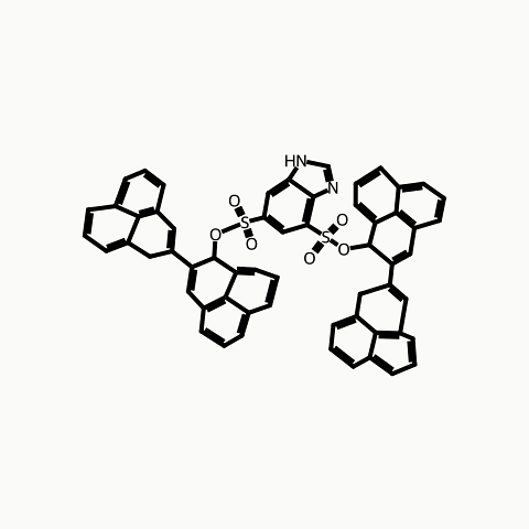 O=S(=O)(OC1C(C2=Cc3cccc4cccc(c34)C2)=Cc2cccc3cccc1c23)c1cc(S(=O)(=O)OC2C(C3=Cc4cccc5cccc(c45)C3)=Cc3cccc4cccc2c34)c2nc[nH]c2c1